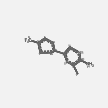 Cc1nc(-c2ccc(C(F)(F)F)cc2)cnc1N